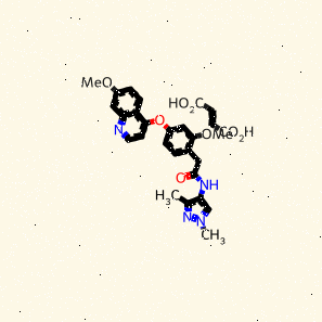 COc1ccc2c(Oc3ccc(CC(=O)Nc4cn(C)nc4C)c(OC)c3)ccnc2c1.O=C(O)C=CC(=O)O